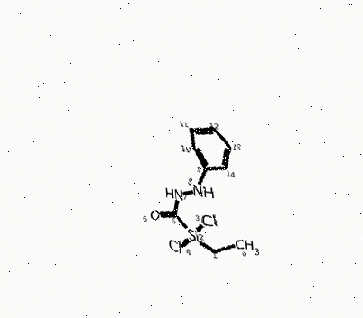 CC[Si](Cl)(Cl)C(=O)NNc1ccccc1